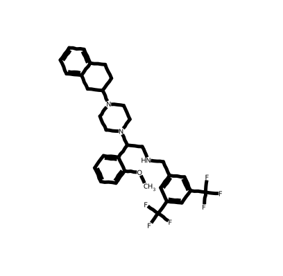 COc1ccccc1C(CNCc1cc(C(F)(F)F)cc(C(F)(F)F)c1)N1CCN(C2CCc3ccccc3C2)CC1